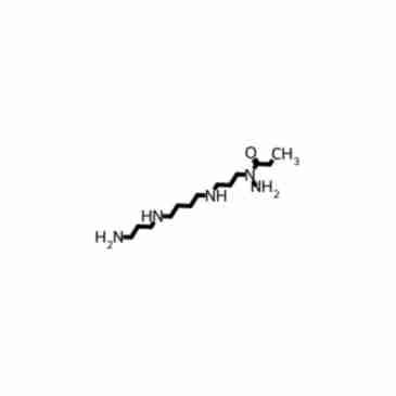 CCC(=O)N(N)CCCNCCCCNCCCN